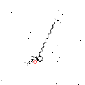 CCCCCCCCCCCCCCCc1cccc(O[C](C)C)c1